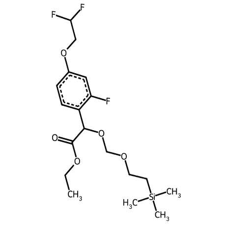 CCOC(=O)C(OCOCC[Si](C)(C)C)c1ccc(OCC(F)F)cc1F